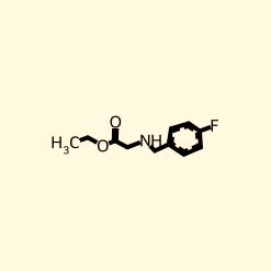 CCOC(=O)CNCc1ccc(F)cc1